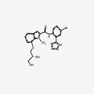 Cn1c(C(=O)Nc2ccc(Br)cc2-c2nnn[nH]2)cc2cccc(OC[C@H](O)CO)c21